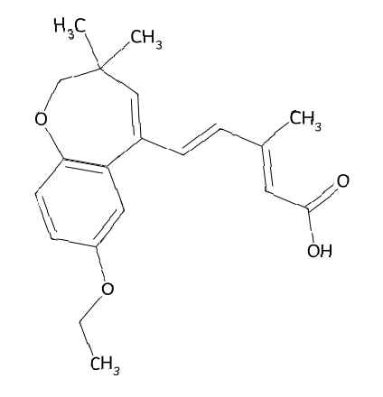 CCOc1ccc2c(c1)C(C=CC(C)=CC(=O)O)=CC(C)(C)CO2